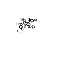 COc1ccc2[nH]cc(C(C)Nc3nc(NC4CCC(N)CC4)nc4c3ncn4C3CCCC3)c2c1.Cl.Cl